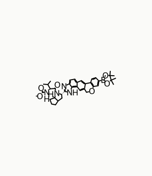 COC(=O)N[C@H](C(=O)N1[C@H](c2nc3ccc4cc5c(cc4c3[nH]2)COc2cc(B3OC(C)(C)C(C)(C)O3)ccc2-5)CC2CCC[C@@H]21)C(C)C